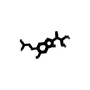 C=C(C)C(=O)c1cc2cc(OCC(F)F)c(Br)cc2[nH]1